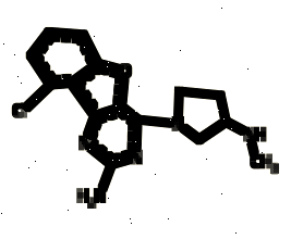 CNC1CCN(c2nc(N)nc3c2oc2cccc(Cl)c23)C1